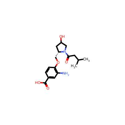 CC(C)CC(=O)N1CC(O)C[C@H]1COc1ccc(C(=O)O)cc1N